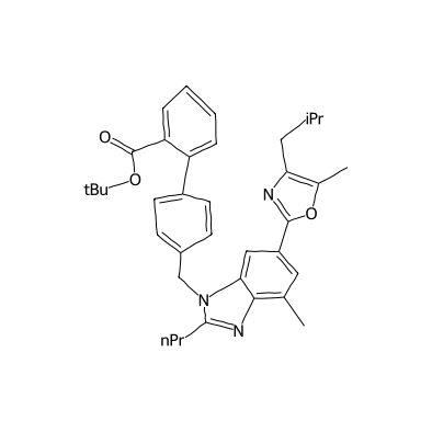 CCCc1nc2c(C)cc(-c3nc(CC(C)C)c(C)o3)cc2n1Cc1ccc(-c2ccccc2C(=O)OC(C)(C)C)cc1